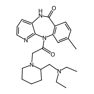 CCN(CC)CC1CCCCN1CC(=O)N1c2cc(C)ccc2C(=O)Nc2cccnc21